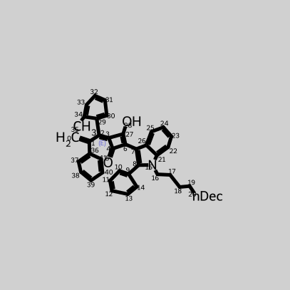 C=C(/C(=C1\C(=O)C(c2c(-c3ccccc3)n(CCCCCCCCCCCCCC)c3ccccc23)=C1O)c1ccccc1C)c1ccccc1